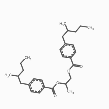 CCCC(C)Cc1ccc(C(=O)OCC(C)OC(=O)c2ccc(CC(C)CCC)cc2)cc1